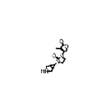 CC1=C(N2CCN(C3C4CNCC43)C2=O)COC1=O